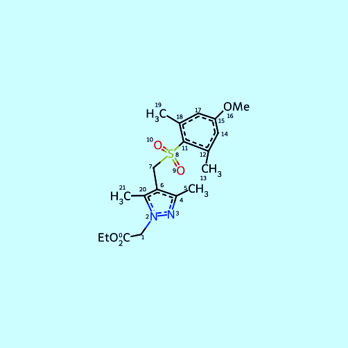 CCOC(=O)Cn1nc(C)c(CS(=O)(=O)c2c(C)cc(OC)cc2C)c1C